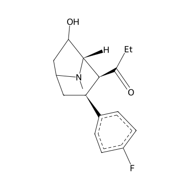 CCC(=O)[C@H]1[C@@H](c2ccc(F)cc2)CC2CC(O)[C@H]1N2C